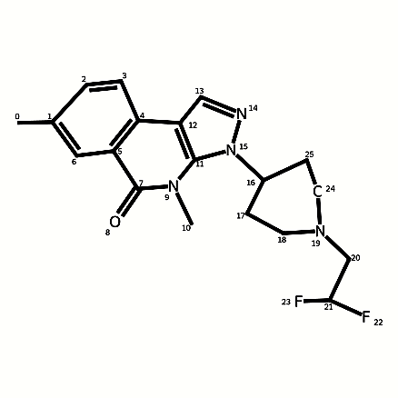 Cc1ccc2c(c1)c(=O)n(C)c1c2cnn1C1CCN(CC(F)F)CC1